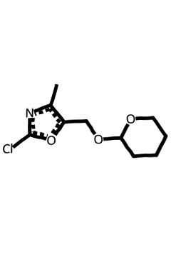 Cc1nc(Cl)oc1COC1CCCCO1